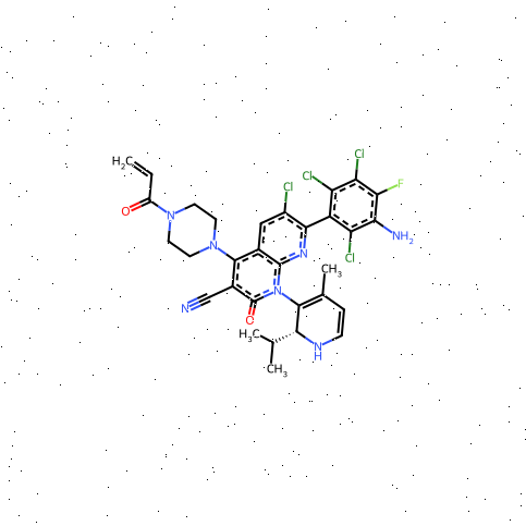 C=CC(=O)N1CCN(c2c(C#N)c(=O)n(C3=C(C)C=CN[C@@H]3C(C)C)c3nc(-c4c(Cl)c(N)c(F)c(Cl)c4Cl)c(Cl)cc23)CC1